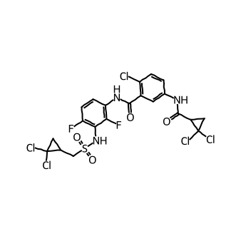 O=C(Nc1ccc(F)c(NS(=O)(=O)CC2CC2(Cl)Cl)c1F)c1cc(NC(=O)C2CC2(Cl)Cl)ccc1Cl